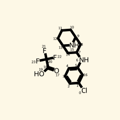 Clc1cccc(NC2CC3CCCC(C2)N3)c1.O=C(O)C(F)(F)F